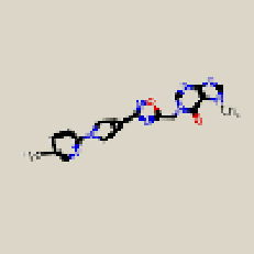 Cc1ccc(N2CC3C(C2)C3c2noc(Cn3cnc4ncn(C)c4c3=O)n2)nc1